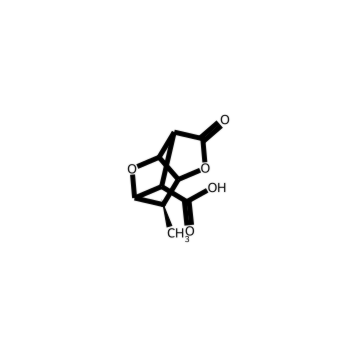 C[C@@H]1C2OC(=O)C3C2OC1C3C(=O)O